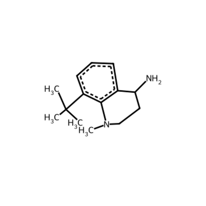 CN1CCC(N)c2cccc(C(C)(C)C)c21